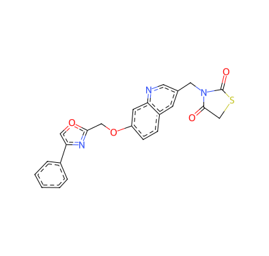 O=C1CSC(=O)N1Cc1cnc2cc(OCc3nc(-c4ccccc4)co3)ccc2c1